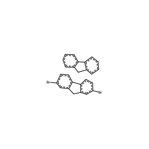 Brc1ccc2c(c1)Cc1cc(Br)ccc1-2.c1ccc2c(c1)Cc1ccccc1-2